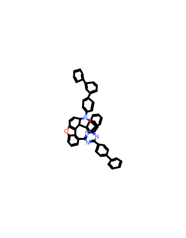 C1=CC2C(c3ccccc3N2c2ccc(-c3cccc(-c4ccccc4)c3)cc2)c2c1oc1cccc(-c3nc(-c4ccccc4)nc(-c4ccc(-c5ccccc5)cc4)n3)c21